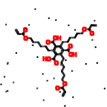 C=CC(=O)OCCCCCCc1c(C(=O)O)c(CCCCCCOC(=O)C=C)c(C(=O)O)c(CCCCCCOC(=O)C=C)c1C(=O)O